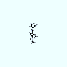 Clc1cc(/C=C/c2csc3c(NC4CC4)ncnc23)ccn1